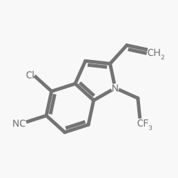 C=Cc1cc2c(Cl)c(C#N)ccc2n1CC(F)(F)F